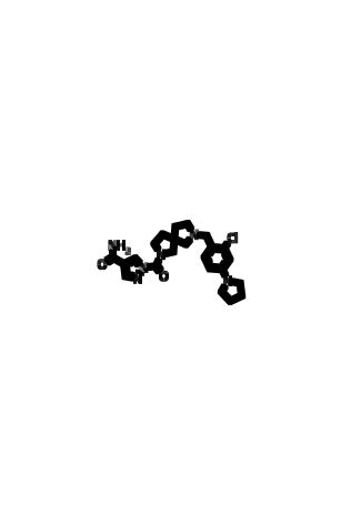 NC(=O)c1cnn(C(=O)N2CCC3(CCN(Cc4ccc(N5CCCC5)cc4Cl)C3)C2)c1